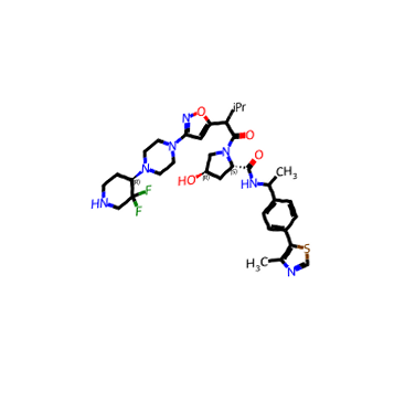 Cc1ncsc1-c1ccc(C(C)NC(=O)[C@@H]2C[C@@H](O)CN2C(=O)C(c2cc(N3CCN([C@@H]4CCNCC4(F)F)CC3)no2)C(C)C)cc1